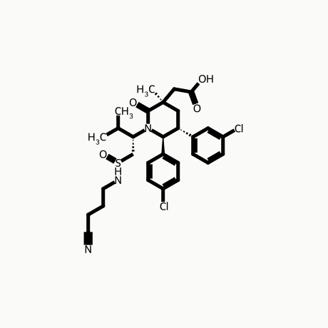 CC(C)[C@@H](C/[SH](=O)=N/CCCC#N)N1C(=O)[C@@](C)(CC(=O)O)C[C@H](c2cccc(Cl)c2)[C@H]1c1ccc(Cl)cc1